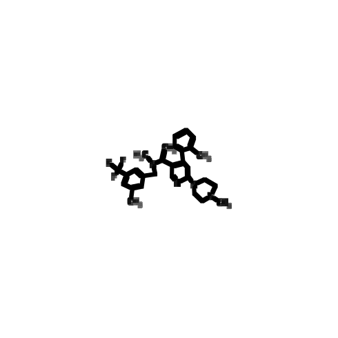 C=C(c1cnc(N2CCN(C)CC2)cc1-c1ccccc1C)N(C)Cc1cc(C)cc(C(F)(F)F)c1